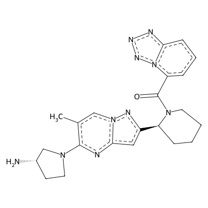 Cc1cn2nc([C@@H]3CCCCN3C(=O)c3cccc4nnnn34)cc2nc1N1CC[C@H](N)C1